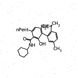 C=C(C)c1ccc(C)cc1-c1c(O)cc(CCCCC)c(C(=O)NC2CCCCC2)c1O